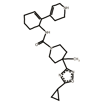 CC1(c2noc(C3CC3)n2)CCN(C(=O)NC2CCCC=C2C2=CCNCC2)CC1